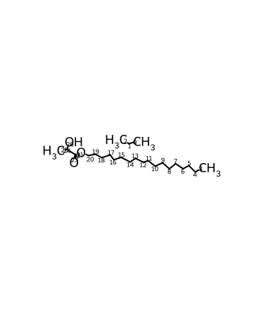 CCC.CCCCCCCCCCCCCCCCCCOC(=O)C(C)O